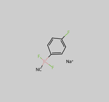 N#C[B-](F)(F)c1ccc(F)cc1.[Na+]